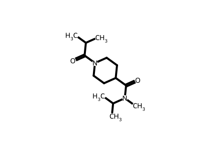 CC(C)C(=O)N1CCC(C(=O)N(C)C(C)C)CC1